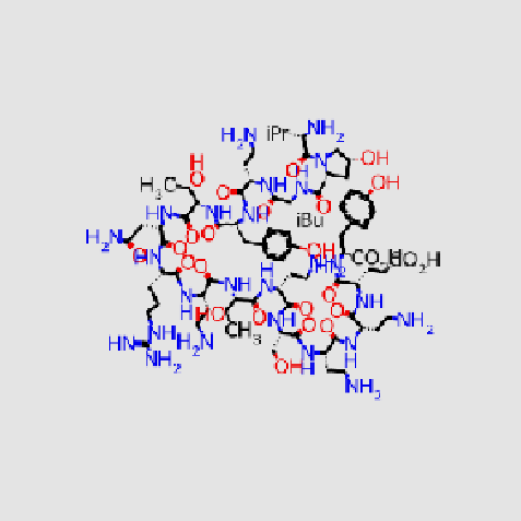 CC[C@H](C)[C@H](NC(=O)[C@@H]1C[C@@H](O)CN1C(=O)[C@@H](N)C(C)C)C(=O)N[C@@H](CCN)C(=O)N[C@@H](Cc1ccc(O)cc1)C(=O)N[C@H](C(=O)N[C@@H](CC(N)=O)C(=O)N[C@@H](CCCNC(=N)N)C(=O)N[C@@H](CCN)C(=O)N[C@H](C(=O)N[C@H](CCN)C(=O)N[C@@H](CO)C(=O)N[C@@H](CCN)C(=O)N[C@@H](CCN)C(=O)N[C@@H](CCC(=O)O)C(=O)N[C@@H](Cc1ccc(O)cc1)C(=O)O)[C@@H](C)O)[C@@H](C)O